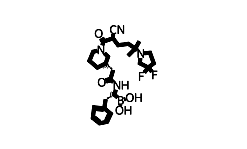 CC(C)(CCC(C#N)C(=O)N1CCC[C@@H](CC(=O)N[C@@H](Cc2ccccc2)B(O)O)C1)N1CCC(F)(F)C1